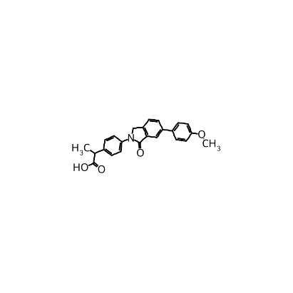 COc1ccc(-c2ccc3c(c2)C(=O)N(c2ccc(C(C)C(=O)O)cc2)C3)cc1